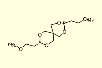 CCCCOCCP1OCC2(COP(CCOC)OC2)CO1